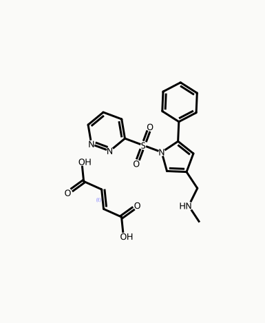 CNCc1cc(-c2ccccc2)n(S(=O)(=O)c2cccnn2)c1.O=C(O)/C=C/C(=O)O